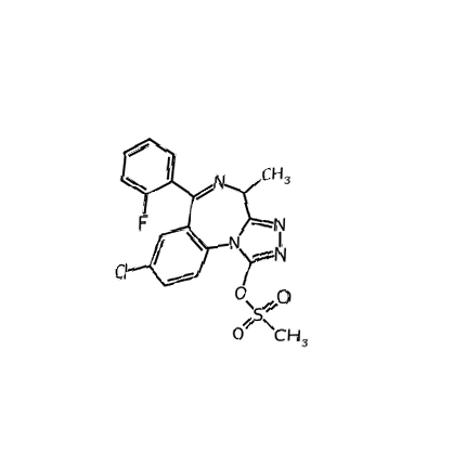 CC1N=C(c2ccccc2F)c2cc(Cl)ccc2-n2c(OS(C)(=O)=O)nnc21